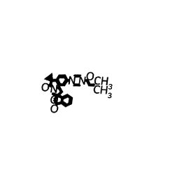 CC(C)CC(=O)N1CCN(c2ccc(C3(C(=O)N4CCC5(C4)OC(=O)c4ccccc45)CC3)cc2)CC1